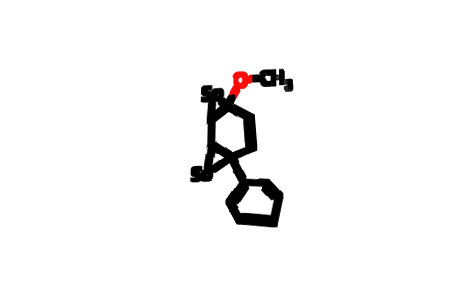 COC12C=CC3(c4ccccc4)[Se]C3C1[Se]2